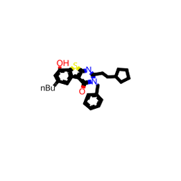 CCCCc1cc(O)c2sc3nc(CCC4CCCC4)n(Cc4ccccc4)c(=O)c3c2c1